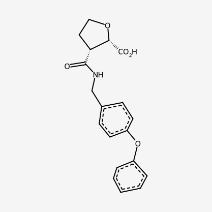 O=C(O)[C@H]1OCC[C@H]1C(=O)NCc1ccc(Oc2ccccc2)cc1